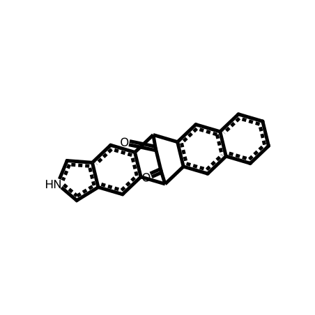 O=C1C(=O)C2c3cc4ccccc4cc3C1c1cc3c[nH]cc3cc12